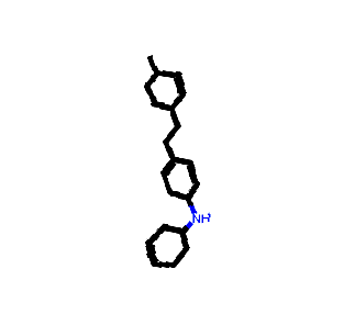 CC1C=CC(CCC2=CCC(NC3CC=CCC3)C=C2)CC1